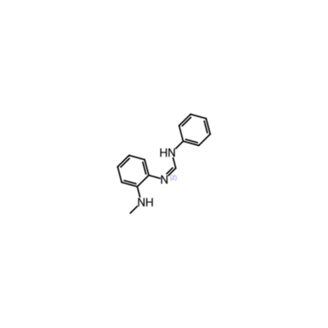 CNc1ccccc1/N=C\Nc1ccccc1